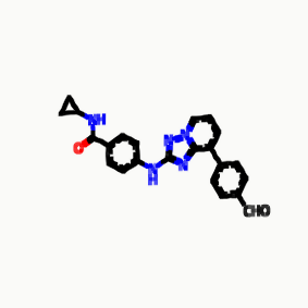 O=Cc1ccc(-c2cccn3nc(Nc4ccc(C(=O)NC5CC5)cc4)nc23)cc1